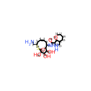 NC[C@H]1C/C=C\CC(NC(=O)C2NCC3CCCCOC32)C2OC(S1)C(O)C(O)C2O